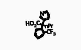 CCCC(C(=O)O)(c1cccnc1)c1ccccc1C(F)(F)F